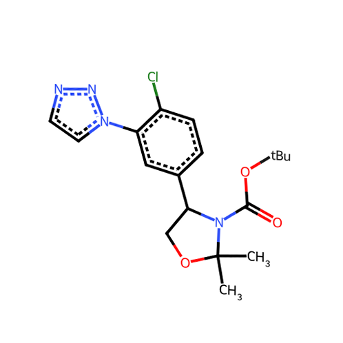 CC(C)(C)OC(=O)N1C(c2ccc(Cl)c(-n3ccnn3)c2)COC1(C)C